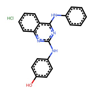 Cl.Oc1ccc(Nc2nc(Nc3ccccc3)c3ccccc3n2)cc1